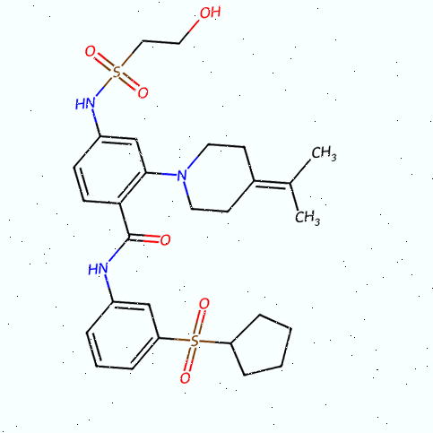 CC(C)=C1CCN(c2cc(NS(=O)(=O)CCO)ccc2C(=O)Nc2cccc(S(=O)(=O)C3CCCC3)c2)CC1